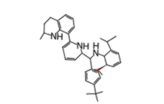 CC1CCc2cccc(C3=CC=CC(C(NC4C(C(C)C)=CC=C[C@H]4C(C)C)c4ccc(C(C)(C)C)cc4)N3)c2N1